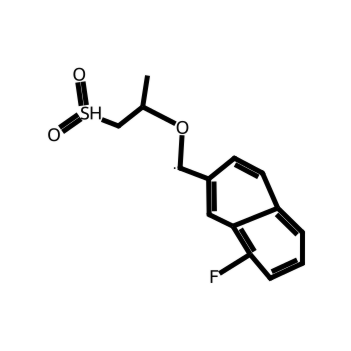 CC(C[SH](=O)=O)O[CH]c1ccc2cccc(F)c2c1